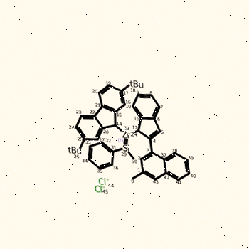 Cc1cc(C2=Cc3ccccc3[CH]2/[Zr+2]([CH]2c3cc(C(C)(C)C)ccc3-c3ccc(C(C)(C)C)cc32)=[Si](\C)c2ccccc2)c2ccccc2c1.[Cl-].[Cl-]